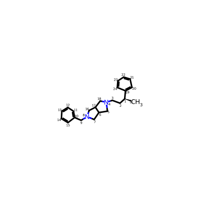 C[C@@H](CCN1CC2CN(Cc3ccccc3)CC2C1)c1ccccc1